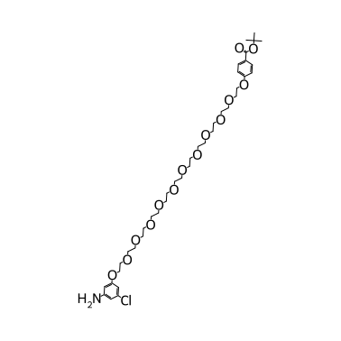 CC(C)(C)OC(=O)c1ccc(OCCOCCOCCOCCOCCOCCOCCOCCOCCOCCOCCOc2cc(N)cc(Cl)c2)cc1